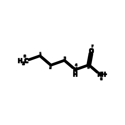 CCCCNC([NH])=O